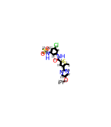 Cc1sc(C(=O)Nc2cc(Cl)cc(NS(C)(=O)=O)c2)cc1-c1ncc(OC(C)C)cn1